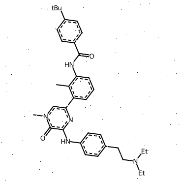 CCN(CC)CCc1ccc(Nc2nc(-c3cccc(NC(=O)c4ccc(C(C)(C)C)cc4)c3C)cn(C)c2=O)cc1